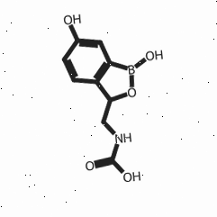 O=C(O)NCC1OB(O)c2cc(O)ccc21